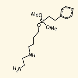 CO[Si](CCc1ccccc1)(OC)OCCCCNCCN